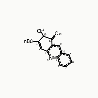 CCCCC1=Cc2nc3ccccc3cc2C(=O)C1Cl